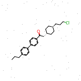 CCCc1ccc(-c2ccc(C(=O)C[C@H]3CC[C@H](CCCCl)CC3)cc2)cc1